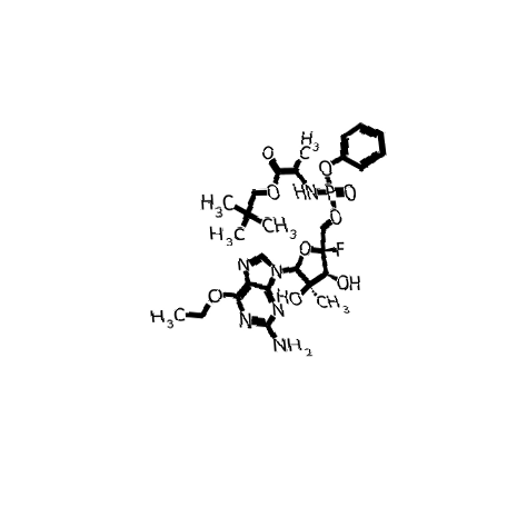 CCOc1nc(N)nc2c1ncn2C1O[C@](F)(COP(=O)(NC(C)C(=O)OCC(C)(C)C)Oc2ccccc2)[C@@H](O)[C@@]1(C)O